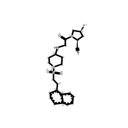 N#C[C@@H]1C[C@H](F)CN1C(=O)CNC1CCN(S(=O)(=O)CCc2cccc3ccccc23)CC1